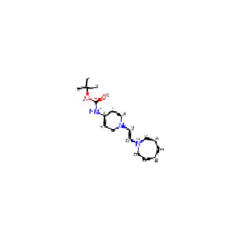 CC(C)(C)OC(=O)NC1CCN(CCN2CCCCCC2)CC1